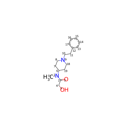 CN(C(=O)CO)C1CCN(CCc2ccccc2)CC1